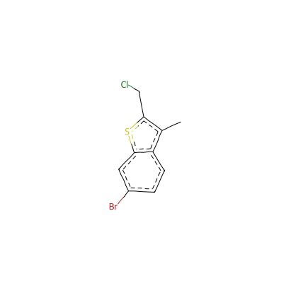 Cc1c(CCl)sc2cc(Br)ccc12